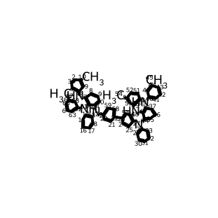 Cc1cccc(Nc2cccc(N(c3ccccc3)c3ccc(-c4ccc(N(c5ccccc5)c5cccc(Nc6cccc(C)c6)c5Nc5cccc(C)c5)cc4)cc3)c2Nc2cccc(C)c2)c1